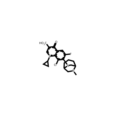 CN1CC2CCCC1CN2c1c(F)cc2c(=O)c(C(=O)O)cn(C3CC3)c2c1Cl